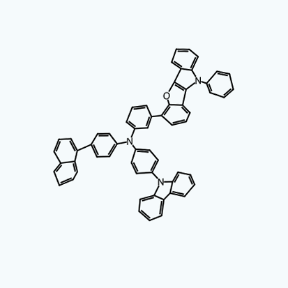 c1ccc(-n2c3ccccc3c3oc4c(-c5cccc(N(c6ccc(-c7cccc8ccccc78)cc6)c6ccc(-n7c8ccccc8c8ccccc87)cc6)c5)cccc4c32)cc1